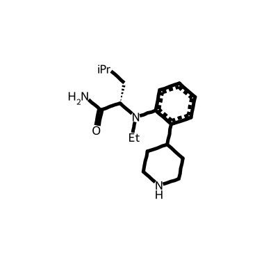 CCN(c1ccccc1C1CCNCC1)[C@@H](CC(C)C)C(N)=O